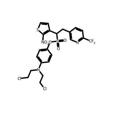 O=[N+]([O-])c1sccc1C(Cc1ccc(C(F)(F)F)nc1)S(=O)(=O)Oc1ccc(N(CCCl)CCCl)cc1